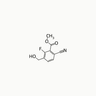 COC(=O)c1c(C#N)ccc(CO)c1F